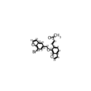 C[S+]([O-])C=Cc1ccc2ccoc2c1OCc1cc(Br)c2occc2c1